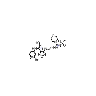 CCS(=O)(=O)/N=C(/NCCNc1nonc1/C(=N/O)Nc1ccc(F)c(Br)c1)N1CCOCC1